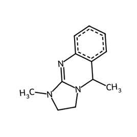 CC1c2ccccc2N=C2N(C)CCN21